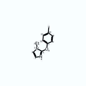 CCn1ccnc1Oc1ccc(C)cc1